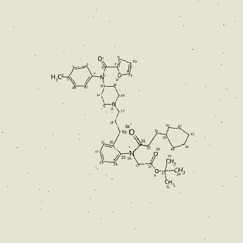 Cc1ccc(N(C(=O)c2ccco2)C2CCN(CCCc3ccccc3N(CC(=O)OC(C)(C)C)C(=O)CCC3CCCCC3)CC2)cc1